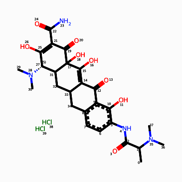 CC(C(=O)Nc1ccc2c(c1O)C(=O)C1=C(O)C3(O)C(=O)C(C(N)=O)=C(O)[C@@H](N(C)C)C3CC1C2)N(C)C.Cl.Cl